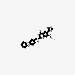 COc1cc2[nH]c(NCc3ccc(Oc4ccccc4)cc3)cc(=O)c2cc1-c1cnco1